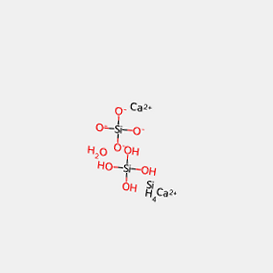 O.O[Si](O)(O)O.[Ca+2].[Ca+2].[O-][Si]([O-])([O-])[O-].[SiH4]